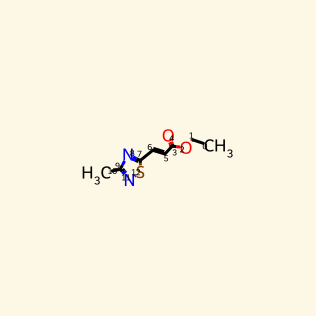 CCOC(=O)/C=C/c1nc(C)ns1